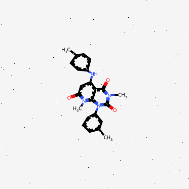 Cc1ccc(Nc2cc(=O)n(C)c3c2c(=O)n(C)c(=O)n3-c2cccc(C)c2)cc1